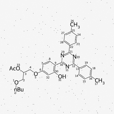 CCCCOCC(COc1ccc(-c2nc(-c3ccc(C)cc3)nc(-c3ccc(C)cc3)n2)c(O)c1)OC(C)=O